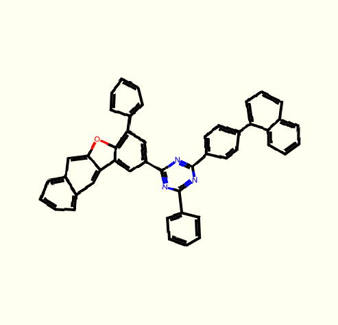 c1ccc(-c2nc(-c3ccc(-c4cccc5ccccc45)cc3)nc(-c3cc(-c4ccccc4)c4oc5cc6ccccc6cc5c4c3)n2)cc1